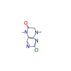 CN1CC(=O)N(C)c2cnc(Cl)nc21